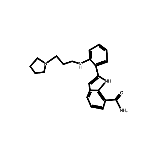 NC(=O)c1cccc2cc(-c3ccccc3NCCCN3CCCC3)[nH]c12